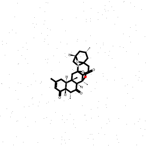 CC1=CC(=O)[C@@H]2[C@@H](C1)[C@]1(C)CC34OC(=O)C[C@@](C)([C@H]1C(=O)[C@@H]2C)[C@]3(C)CCC12C[C@@H](C)C[C@@H](CN14)O2